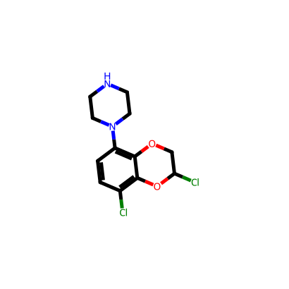 Clc1ccc(N2CCNCC2)c2c1OC(Cl)CO2